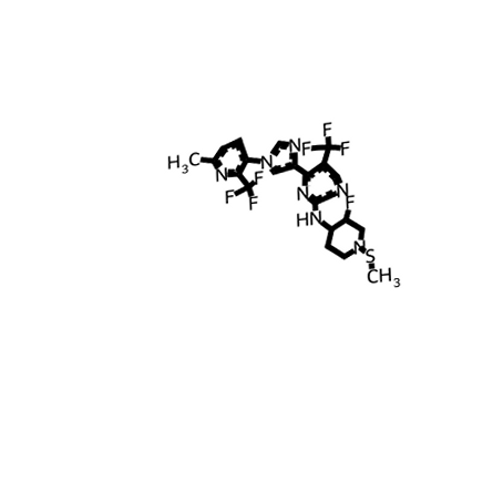 CSN1CCC(Nc2ncc(C(F)(F)F)c(-c3cn(-c4ccc(C)nc4C(F)(F)F)cn3)n2)C(F)C1